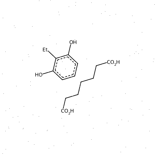 CCc1c(O)cccc1O.O=C(O)CCCCCC(=O)O